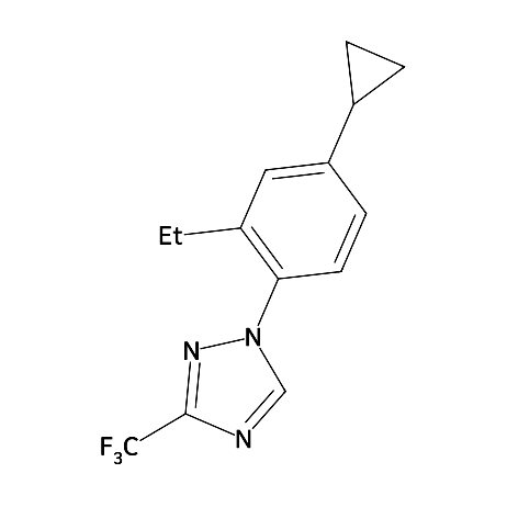 CCc1cc(C2CC2)ccc1-n1cnc(C(F)(F)F)n1